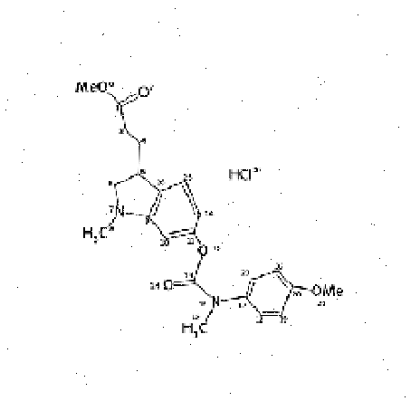 COC(=O)CCC1CN(C)c2cc(OC(=O)N(C)c3ccc(OC)cc3)ccc21.Cl